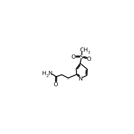 CS(=O)(=O)c1ccnc([CH]CC(N)=O)c1